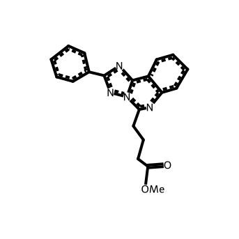 COC(=O)CCCc1nc2ccccc2c2nc(-c3ccccc3)nn12